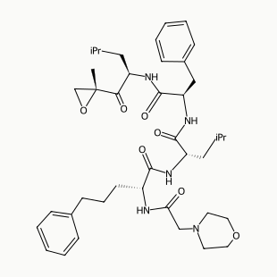 CC(C)C[C@H](NC(=O)[C@@H](CCCc1ccccc1)NC(=O)CN1CCOCC1)C(=O)N[C@H](Cc1ccccc1)C(=O)N[C@H](CC(C)C)C(=O)[C@@]1(C)CO1